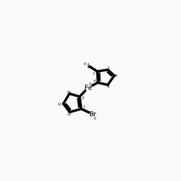 BrC1=[C]([Fe][C]2=C(I)C=CC2)CC=C1